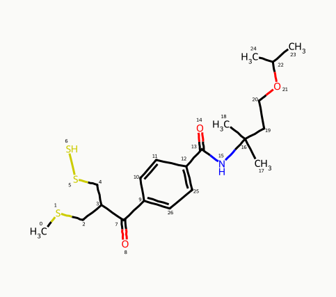 CSCC(CSS)C(=O)c1ccc(C(=O)NC(C)(C)CCOC(C)C)cc1